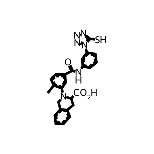 Cc1ccc(C(=O)Nc2cccc(-n3nnnc3S)c2)cc1N1Cc2ccccc2CC1C(=O)O